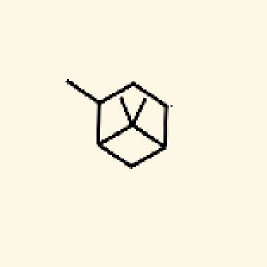 CC1C[CH]C2CC1C2(C)C